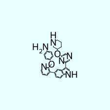 Nc1ccc(Oc2ncccc2-c2ccc3[nH]cc(-c4cncc(O[C@@H]5CCCNC5)n4)c3c2)cc1